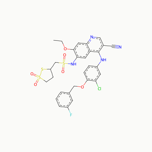 CCOc1cc2ncc(C#N)c(Nc3ccc(OCc4cccc(F)c4)c(Cl)c3)c2cc1NS(=O)(=O)CC1CCS(=O)(=O)S1